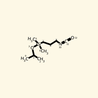 CC(C)O[Si](C)(C)CCCN=C=O